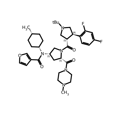 CN1CCN(C(=O)[C@@H]2C[C@H](N(C(=O)c3ccoc3)[C@H]3CC[C@@H](C)CC3)CN2C(=O)[C@@H]2CN(C(C)(C)C)C[C@H]2c2ccc(F)cc2F)CC1